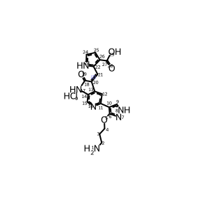 Cl.NCCCOc1n[nH]cc1-c1cc2c(cn1)NC(=O)/C2=C\c1[nH]ccc1C(=O)O